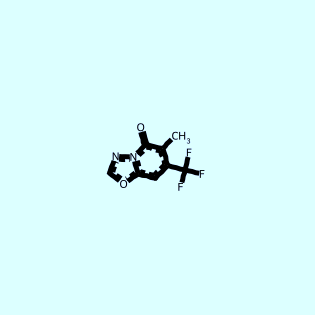 Cc1c(C(F)(F)F)cc2ocnn2c1=O